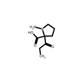 CCC(=O)C1(C(=O)O)CCCN1N